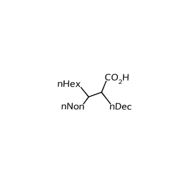 CCCCCCCCCCC(C(=O)O)C(CCCCCC)CCCCCCCCC